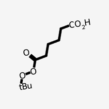 CC(C)(C)OOC(=O)CCCCC(=O)O